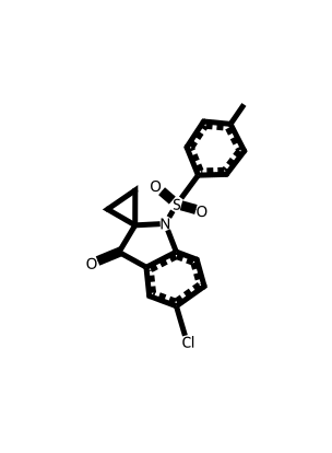 Cc1ccc(S(=O)(=O)N2c3ccc(Cl)cc3C(=O)C23CC3)cc1